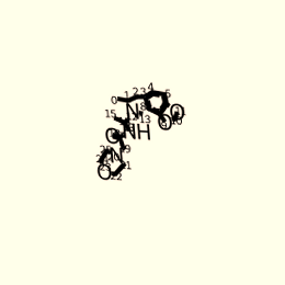 CC(Cc1ccc2c(c1)OCO2)N(C)C(C)NC(=O)CN1CCOCC1